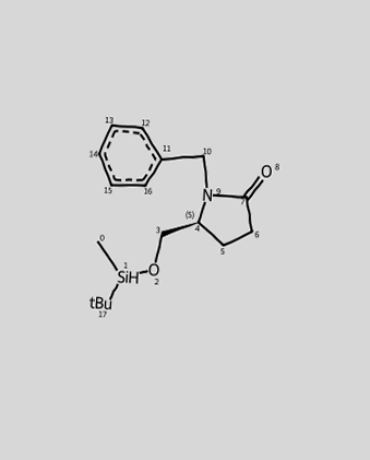 C[SiH](OC[C@@H]1CCC(=O)N1Cc1ccccc1)C(C)(C)C